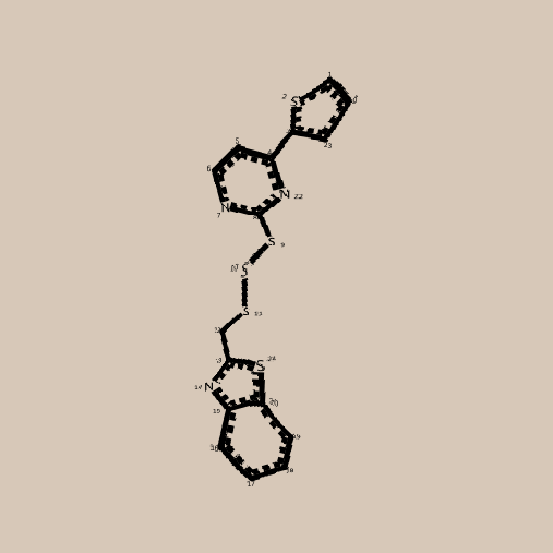 c1csc(-c2ccnc(SSSCc3nc4ccccc4s3)n2)c1